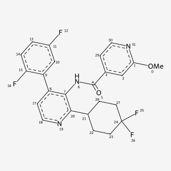 COc1cc(C(=O)Nc2c(-c3cc(F)ccc3F)ccnc2C2CCC(F)(F)CC2)ccn1